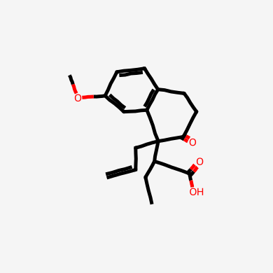 C=CCC1(C(CC)C(=O)O)C(=O)CCc2ccc(OC)cc21